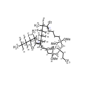 CC/C(=N\CCC[Si](OC)(OC)O[Si](C)(CCC(F)(F)F)O[Si](CCC/N=C(\CC)C(C)(F)C(F)(F)C(F)(F)C(C)(F)F)(OC)OC)C(C)(F)C(F)(F)C(F)(F)C(C)(F)F